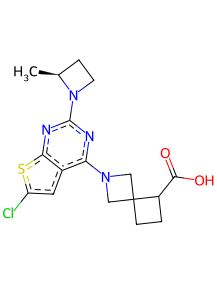 C[C@H]1CCN1c1nc(N2CC3(CCC3C(=O)O)C2)c2cc(Cl)sc2n1